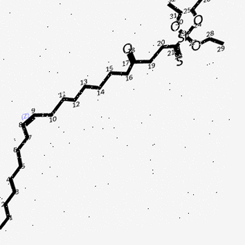 CCCCCCCC/C=C\CCCCCCCC(=O)CCC(=S)[Si](OCC)(OCC)OCC